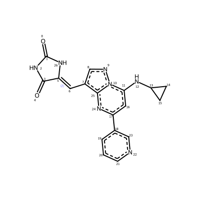 O=C1NC(=O)/C(=C/c2cnn3c(NC4CC4)cc(-c4cccnc4)nc23)N1